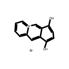 Oc1ccc(O)c2c[n+]3ccccc3cc12.[Br-]